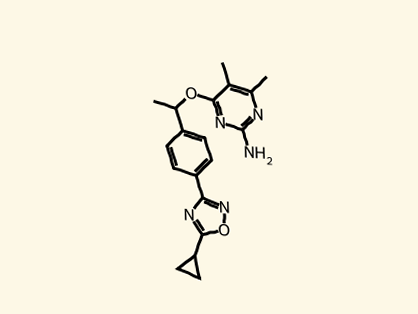 Cc1nc(N)nc(OC(C)c2ccc(-c3noc(C4CC4)n3)cc2)c1C